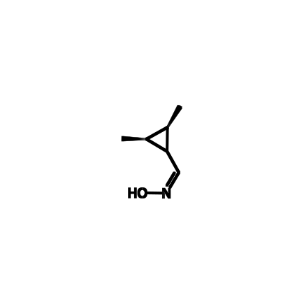 C[C@@H]1C(/C=N\O)[C@@H]1C